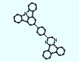 c1ccc2c(c1)c1ccccc1c1nc(-c3ccc(-c4cc5c6ccccc6n6c7ccccc7c(c4)c56)cc3)cnc21